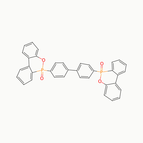 O=P1(c2ccc(-c3ccc(P4(=O)Oc5ccccc5-c5ccccc54)cc3)cc2)Oc2ccccc2-c2ccccc21